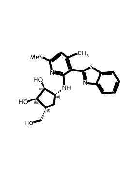 CSc1cc(C)c(-c2nc3ccccc3s2)c(N[C@@H]2C[C@H](CO)[C@@H](O)[C@H]2O)n1